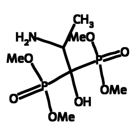 COP(=O)(OC)C(O)(C(C)N)P(=O)(OC)OC